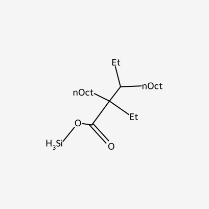 CCCCCCCCC(CC)C(CC)(CCCCCCCC)C(=O)O[SiH3]